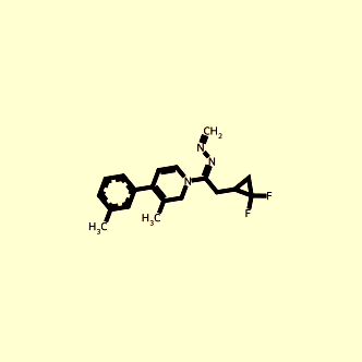 C=N/N=C(/CC1CC1(F)F)N1C=CC(c2cccc(C)c2)=C(C)C1